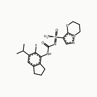 CC(C)c1cc2c(c(NC(=O)N=[S@](N)(=O)c3cnn4c3OCCC4)c1F)CCC2